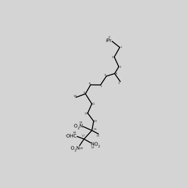 CC(C)CCCC(C)CCCC(C)CCCC(C)([N+](=O)[O-])C([C]=O)([N+](=O)[O-])[N+](=O)[O-]